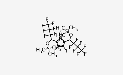 C[Si](C)(C)OC(c1[nH]c(C(O[Si](C)(C)C)C(F)(F)C(F)(F)C(F)(F)F)c(I)c1I)C(F)(F)C(F)(F)C(F)(F)F